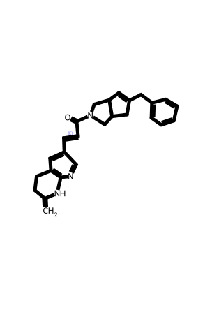 C=C1CCc2cc(/C=C/C(=O)N3CC4C=C(Cc5ccccc5)CC4C3)cnc2N1